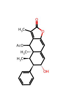 CC(=O)OC1C2=C(C)C(=O)OC2=CC2=C[C@H](O)[C@@H](c3ccccc3)[C@@H](C)[C@]21C